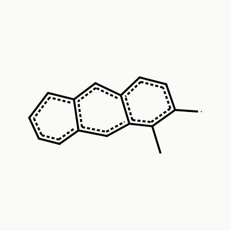 [CH2]c1ccc2cc3ccccc3cc2c1C